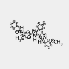 COc1cccc(Nc2nccc(-c3[nH]c(C4OCC(C)(CNC(=O)Cc5ccccc5)CO4)nc3-c3ccc(F)cc3)n2)c1